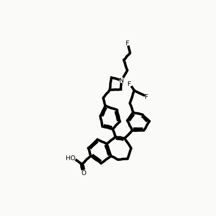 O=C(O)c1ccc2c(c1)CCCC(c1cccc(CC(F)F)c1)=C2c1ccc(CC2CN(CCCF)C2)cc1